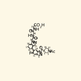 CC(=O)N1CCC(C(=O)n2ncc3cc(F)c(-c4cccc5c4cnn5CC(=O)NCC(=O)NCC(=O)O)cc32)CC1